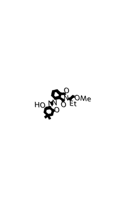 CCC(COC)N1C(=O)c2cccc(N=NC3=C(O)CC(C)(C)CC3=O)c2C1=O